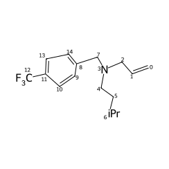 C=CCN(CCC(C)C)Cc1ccc(C(F)(F)F)cc1